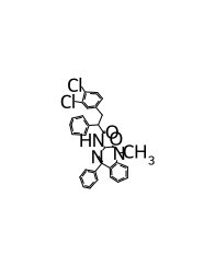 CN1C(=O)C(NC(=O)C(Cc2ccc(Cl)c(Cl)c2)c2ccccc2)N=C(c2ccccc2)c2ccccc21